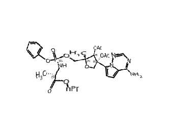 CCCOC(=O)[C@H](C)N[P@](=O)(OC[C@@]1(C)OC[C@](OC(C)=O)(c2ccc3c(N)ncnn23)[C@@H]1OC(C)=O)Oc1ccccc1